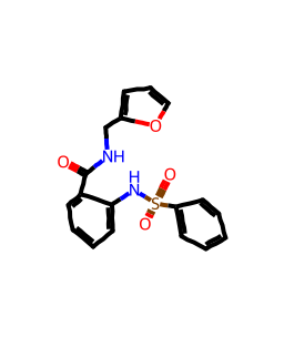 O=C(NCc1ccco1)c1ccccc1NS(=O)(=O)c1ccccc1